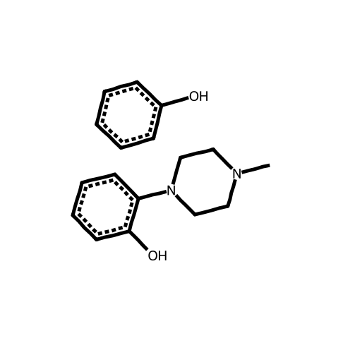 CN1CCN(c2ccccc2O)CC1.Oc1ccccc1